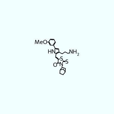 COc1cccc(-c2cc(CCCN)c(/C=C3\SC(=S)N(C4CC5CCC4C5)C3=O)[nH]2)c1